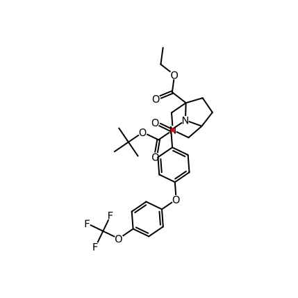 CCOC(=O)C12CCC(CN(C(=O)OC(C)(C)C)C1)N2C(=O)c1ccc(Oc2ccc(OC(F)(F)F)cc2)cc1